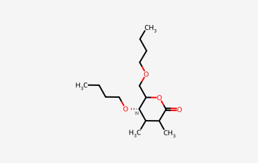 CCCCOCC1OC(=O)C(C)C(C)[C@@H]1OCCCC